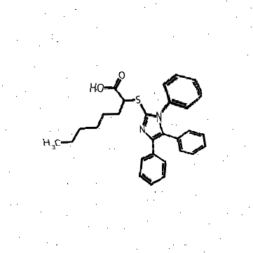 CCCCCCC(Sc1nc(-c2ccccc2)c(-c2ccccc2)n1-c1ccccc1)C(=O)O